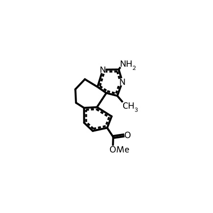 COC(=O)c1ccc2c(c1)-c1c(C)nc(N)nc1CCC2